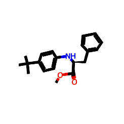 COC(=O)[C@H](Cc1ccccc1)Nc1ccc(C(C)(C)C)cc1